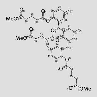 COC(=O)CCCC(=O)Oc1ccc(C)cc1Cc1cc(C)cc(Cc2cc(C)ccc2OC(=O)CCCC(=O)OC)c1OC(=O)CCCC(=O)OC